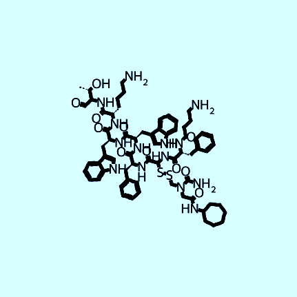 C[C@H](O)C(C=O)NC(=O)[C@H](CCCCN)NC(=O)[C@H](Cc1c[nH]c2ccccc12)NC(=O)[C@@H](Cc1c[nH]c2ccccc12)NC(=O)[C@H](Cc1ccccc1)NC(=O)C(NC(=O)[C@@H](Cc1ccccc1)NC(=O)CCCN)SSCN(CC(=O)NC1CCCCCC1)C(N)=O